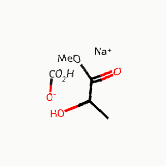 COC(=O)C(C)O.O=C([O-])O.[Na+]